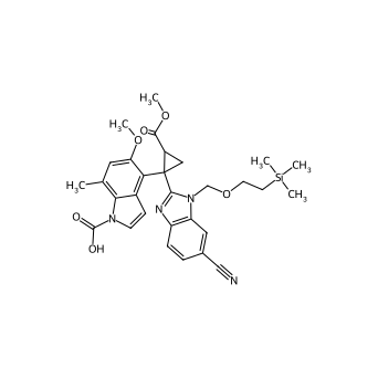 COC(=O)C1CC1(c1c(OC)cc(C)c2c1ccn2C(=O)O)c1nc2ccc(C#N)cc2n1COCC[Si](C)(C)C